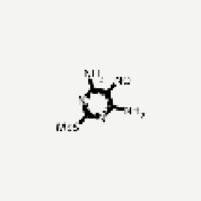 CSc1nc(N)c(N=O)c(N)n1